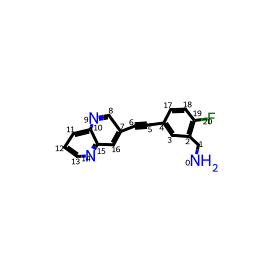 NCc1cc(C#Cc2cnc3cccnc3c2)ccc1F